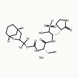 [2H]C([2H])(OC(=O)N[C@@H](CC(C)C)C(=O)N[C@@H](C[C@@H]1CCNC1=O)C(O)S(=O)(=O)[O-])C1C[C@H]2CCC[C@@H](C1)C2.[Na+]